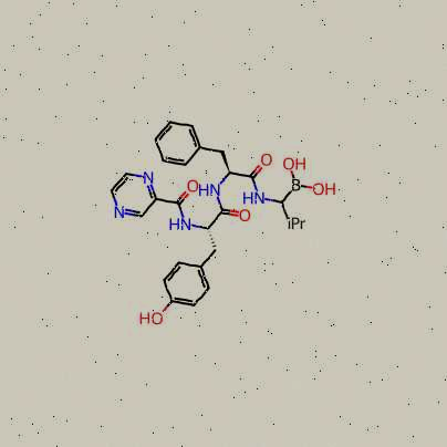 CC(C)C(NC(=O)[C@H](Cc1ccccc1)NC(=O)[C@H](Cc1ccc(O)cc1)NC(=O)c1cnccn1)B(O)O